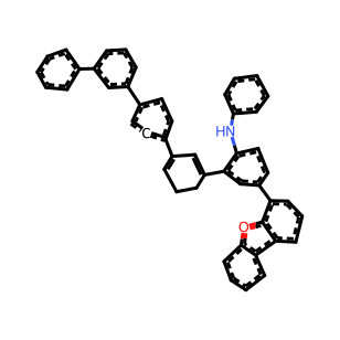 C1=C(c2ccc(-c3cccc(-c4ccccc4)c3)cc2)C=C(c2cc(-c3cccc4c3oc3ccccc34)ccc2Nc2ccccc2)CC1